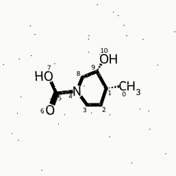 C[C@@H]1CCN(C(=O)O)C[C@@H]1O